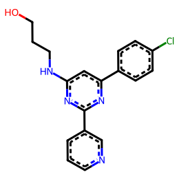 OCCCNc1cc(-c2ccc(Cl)cc2)nc(-c2cccnc2)n1